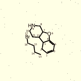 C1=CCC2C(=C1)OC1CNCCC12.CCCCBr